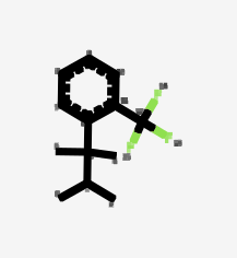 CC(C)C(C)(C)c1ccccc1C(F)(F)F